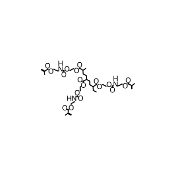 C=C(C)C(=O)OCCNC(=O)OCCOC(=O)C(C)CCC(CCC(CC)C(=O)OCCOC(=O)NCCOC(=O)C(=C)C)C(=O)OCCOC(=O)NCCOC(=O)C(=C)C